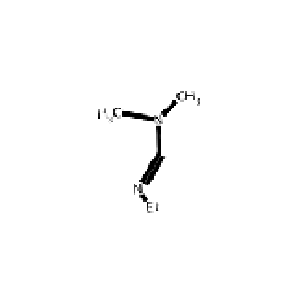 [CH2]C/N=C/N(C)C